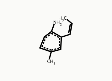 C/C=C\c1cc(C)ccc1N